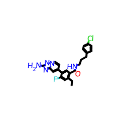 CCc1cc(F)c(-c2ccn3nc(N)nc3c2)cc1C(=O)NCCCc1ccc(Cl)cc1